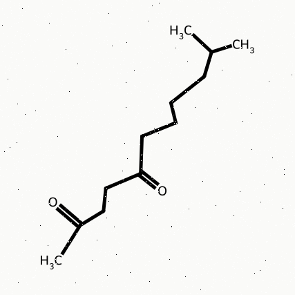 CC(=O)CCC(=O)CCCCC(C)C